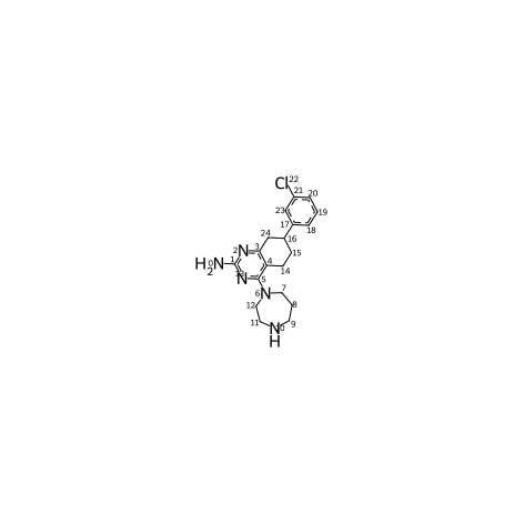 Nc1nc2c(c(N3CCCNCC3)n1)CCC(c1cccc(Cl)c1)C2